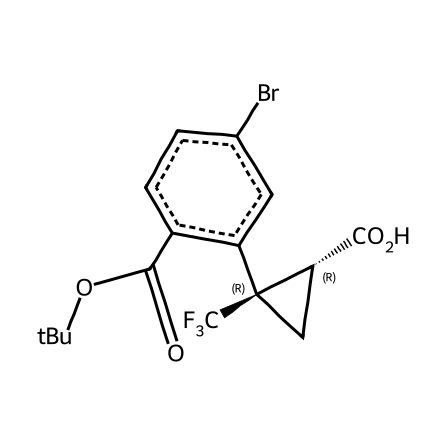 CC(C)(C)OC(=O)c1ccc(Br)cc1[C@@]1(C(F)(F)F)C[C@H]1C(=O)O